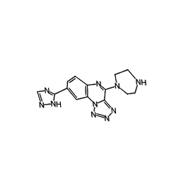 c1n[nH]c(-c2ccc3nc(N4CCNCC4)c4nnnn4c3c2)n1